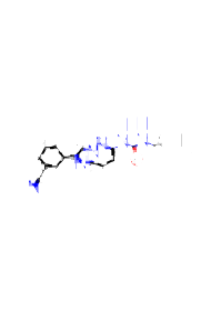 CCNC(=O)Nc1ccc2nc(-c3cccc(C#N)c3)cn2n1